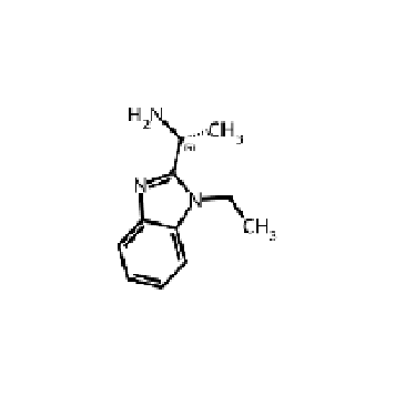 CCn1c([C@@H](C)N)nc2ccccc21